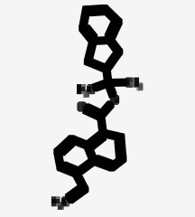 C=Cc1cccc2c(C(=O)OC(C)(C)C3Cc4ccccc4C3)cccc12